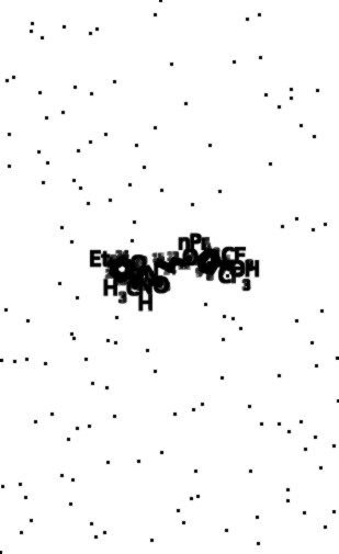 CCCc1cc(C(O)(C(F)(F)F)C(F)(F)F)ccc1OCCCCN1C(=O)NC(C)(c2ccc(CC)cc2)C1=O